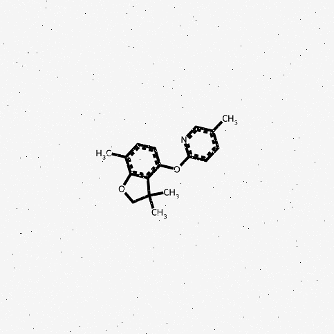 Cc1ccc(Oc2ccc(C)c3c2C(C)(C)CO3)nc1